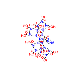 O=C(O)CN1CCN(CC(=O)O)CCN(CC(=O)N2CCN(C(=O)CN3CCN(CC(=O)O)CCN(CC(=O)O)CCN(CC(=O)O)CC3)CC(C(=O)N3CC4CN(C(=O)C5CN(C(=O)CN6CCN(CC(=O)O)CCN(CC(=O)O)CCN(CC(=O)O)CC6)CCN(C(=O)CN6CCN(CC(=O)O)CCN(CC(=O)O)CCN(CC(=O)O)CC6)C5)C(CN4)C3)C2)CCN(CC(=O)O)CC1